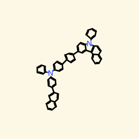 c1ccc(N(c2ccc(-c3ccc(-c4ccc5c(c4)c4c6ccccc6ccc4n5-c4ccccc4)cc3)cc2)c2ccc(-c3ccc4ccccc4c3)cc2)cc1